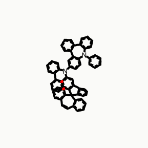 C1=Cc2ccccc2C2(c3ccccc31)c1ccccc1-c1cc(N(c3ccc4c(c3)-c3ccccc3-c3ccccc3N4c3ccccc3)c3ccccc3-c3ccccc3)ccc12